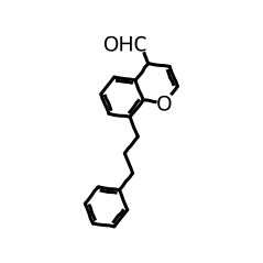 O=CC1C=COc2c(CCCc3ccccc3)cccc21